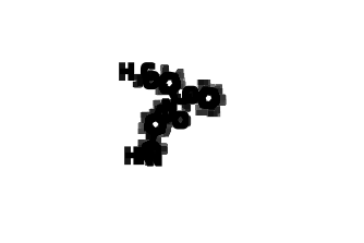 COc1cccc(C(COc2ccccc2)N2Cc3ccc(-c4cn[nH]c4)cc3C2=O)c1